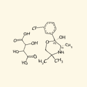 C[C@@H]1NC(C)(C)CO[C@@]1(O)c1cccc(Cl)c1.O=C(O)C(O)C(O)C(=O)O